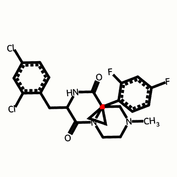 CN1CCN(C(=O)C(Cc2ccc(Cl)cc2Cl)NC(=O)C2(c3ccc(F)cc3F)CC2)CC1